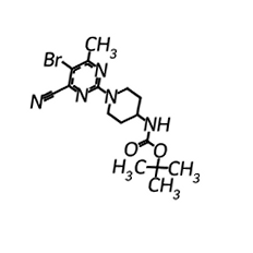 Cc1nc(N2CCC(NC(=O)OC(C)(C)C)CC2)nc(C#N)c1Br